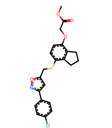 COC(=O)COc1ccc(SCc2cc(-c3ccc(Cl)cc3)no2)c2c1CCC2